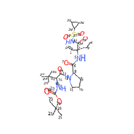 C=CC(CC)(NC(=O)C1CCCN1C(=O)[C@@H](NC(=O)OC(C)(C)C)C(C)(C)C)C(=O)NS(=O)(=O)C1CC1